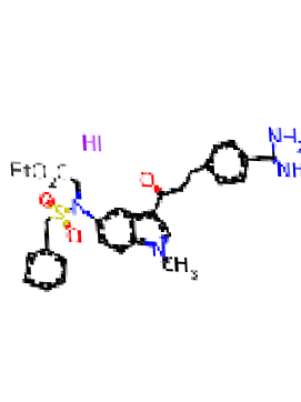 CCOC(=O)CN(c1ccc2c(c1)c(C(=O)CCc1ccc(C(=N)N)cc1)cn2C)S(=O)(=O)Cc1ccccc1.I